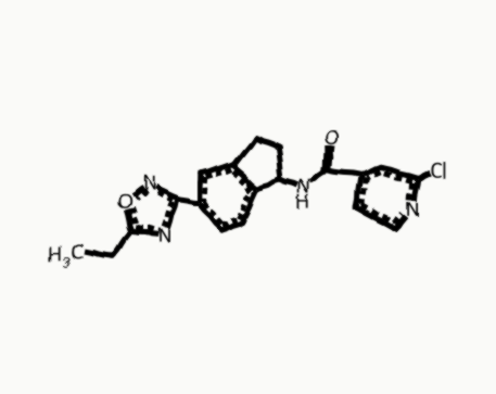 CCc1nc(-c2ccc3c(c2)CCC3NC(=O)c2ccnc(Cl)c2)no1